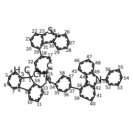 CC1(C)c2ccccc2-c2cccc(N(c3ccc(-c4cccc5sc6ccccc6c45)cc3)c3ccc(-c4cccc5c4c4ccccc4n5-c4ccccc4)cc3)c21